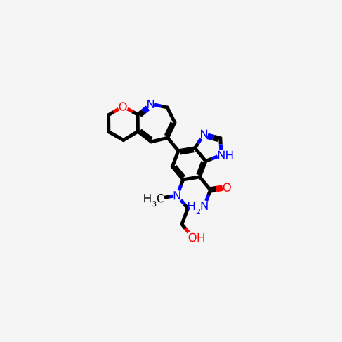 CN(CCO)c1cc(C2=CCN=C3OCCCC3=C2)c2nc[nH]c2c1C(N)=O